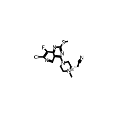 CSc1nc(N2CCN(C)[C@@H](CC#N)C2)c2cnc(Cl)c(F)c2n1